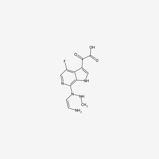 CNN(/C=C\N)c1ncc(F)c2c(C(=O)C(=O)O)c[nH]c12